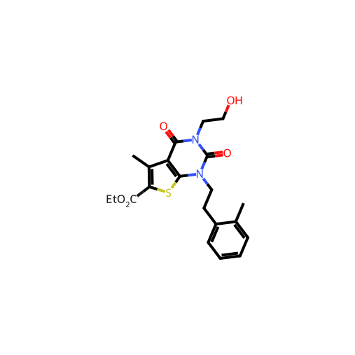 CCOC(=O)c1sc2c(c1C)c(=O)n(CCO)c(=O)n2CCc1ccccc1C